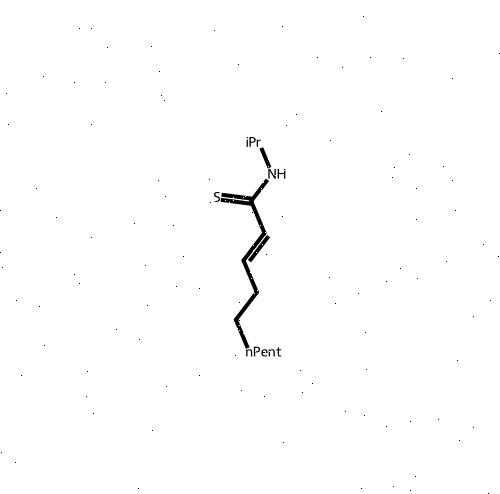 CCCCCCCC=CC(=S)NC(C)C